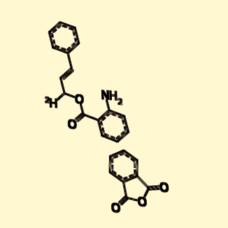 O=C1OC(=O)c2ccccc21.[2H]C(C=Cc1ccccc1)OC(=O)c1ccccc1N